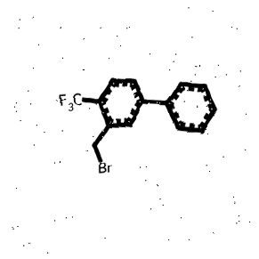 FC(F)(F)c1ccc(-c2ccccc2)cc1CBr